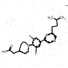 CC(C)CCc1cncc(-c2cc(F)c(N3CCC(CC(=O)O)CC3)c(F)c2)n1